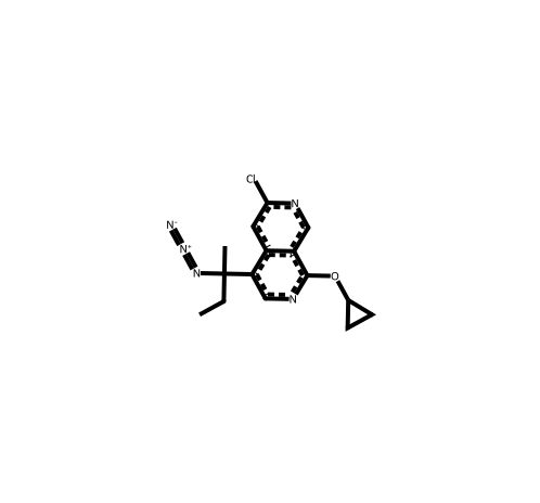 CCC(C)(N=[N+]=[N-])c1cnc(OC2CC2)c2cnc(Cl)cc12